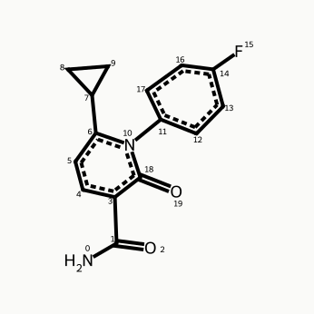 NC(=O)c1ccc(C2CC2)n(-c2ccc(F)cc2)c1=O